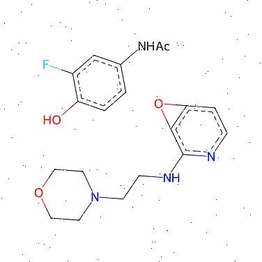 CC(=O)Nc1ccc(O)c(F)c1.c1cc2c(c(NCCN3CCOCC3)n1)O2